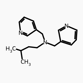 CC(C)CCN(Cc1cccnc1)Cc1cccnc1